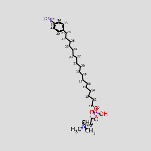 C[N+](C)(C)CCOP(=O)(O)OCCCCCCCCCCCCCCCCCCc1ccc([125I])cc1